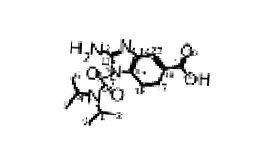 CC(C)N(C(C)C)S(=O)(=O)n1c(N)nc2c1CCC(C(=O)O)=C2